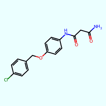 NC(=O)CC(=O)Nc1ccc(OCc2ccc(Cl)cc2)cc1